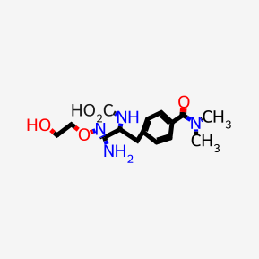 CN(C)C(=O)c1ccc(CC(NC(=O)O)/C(N)=N/OCCO)cc1